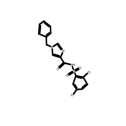 O=C(NS(=O)(=O)c1cc(Cl)ccc1Cl)c1cn(Cc2ccccc2)cn1